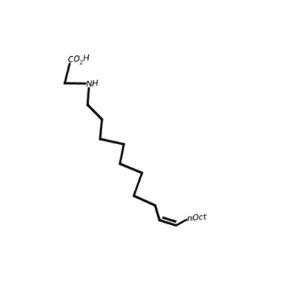 CCCCCCCC/C=C\CCCCCCCCNCC(=O)O